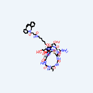 CC[C@@H](C)[C@@H]1NC(=O)CNC(=O)[C@@H]2Cc3c([nH]c4cc(OCCCCCCNC(=O)CCC(=O)N5Cc6ccccc6C#Cc6ccccc65)ccc34)[S+]([O-])C[C@@H](NC(=O)CNC1=O)C(=O)N[C@@H](CC(N)=O)C(=O)N1C[C@H](O)CC1C(=O)N[C@@H]([C@@H](C)[C@@H](O)CO)C(=O)N2